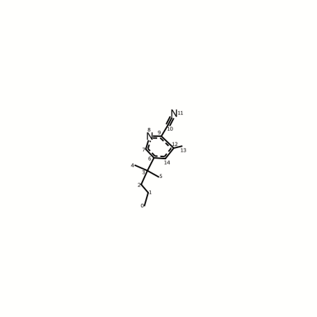 CCCC(C)(C)c1cnc(C#N)c(C)c1